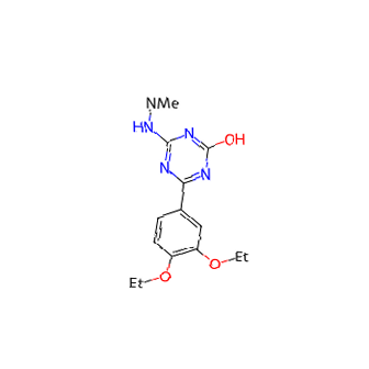 CCOc1ccc(-c2nc(O)nc(NNC)n2)cc1OCC